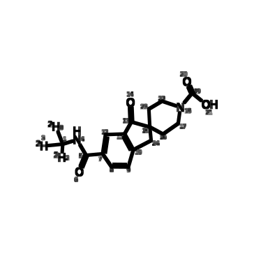 [2H]C([2H])([2H])NC(=O)c1ccc2c(c1)C(=O)C1(CCN(C(=O)O)CC1)C2